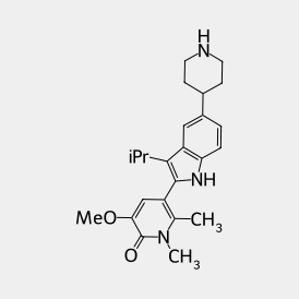 COc1cc(-c2[nH]c3ccc(C4CCNCC4)cc3c2C(C)C)c(C)n(C)c1=O